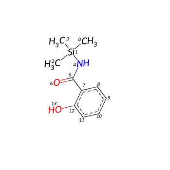 C[Si](C)(C)NC(=O)c1ccccc1O